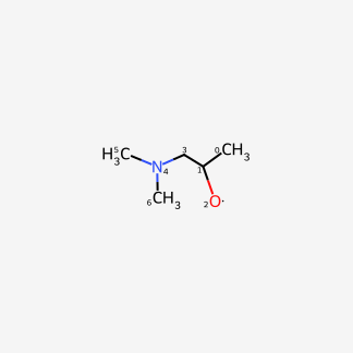 CC([O])CN(C)C